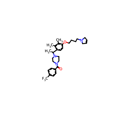 Cc1c(OCCCCN2CC=CC2)ccc(C(C)N2CCN(C(=O)c3ccc(C(F)(F)F)cc3)CC2)c1C